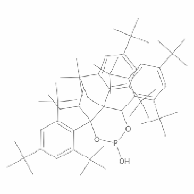 CCC(C)C1(c2c(C(C)(C)C)cc(C(C)(C)C)cc2C(C)(C)C)OP(O)OC(c2c(C(C)(C)C)cc(C(C)(C)C)cc2C(C)(C)C)C1(CC)c1c(C(C)(C)C)cc(C(C)(C)C)cc1C(C)(C)C